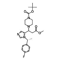 COC(=O)CC(c1cncn1[C@H](C)c1ccc(F)cc1)N1CCN(C(=O)OC(C)(C)C)CC1